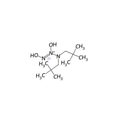 CC(C)(C)CN(CC(C)(C)C)/[N+](O)=N/O